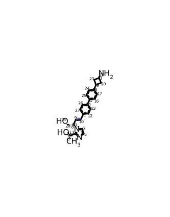 C[C@H](O)c1nccn1[C@@H](/C=C/c1ccc(-c2ccc(C3CC(N)C3)cc2)cc1)CO